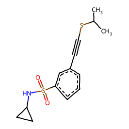 CC(C)SC#Cc1cccc(S(=O)(=O)NC2CC2)c1